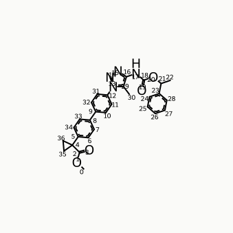 COC(=O)C1(c2ccc(-c3ccc(-n4nnc(NC(=O)OC(C)c5ccccc5)c4C)cc3)cc2)CC1